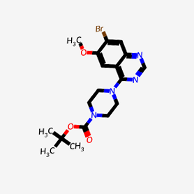 COc1cc2c(N3CCN(C(=O)OC(C)(C)C)CC3)ncnc2cc1Br